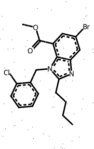 CCCCc1nc2cc(Br)cc(C(=O)OC)c2n1Cc1ccccc1Cl